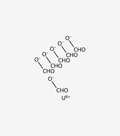 O=C[O-].O=C[O-].O=C[O-].O=C[O-].O=C[O-].O=C[O-].[U+6]